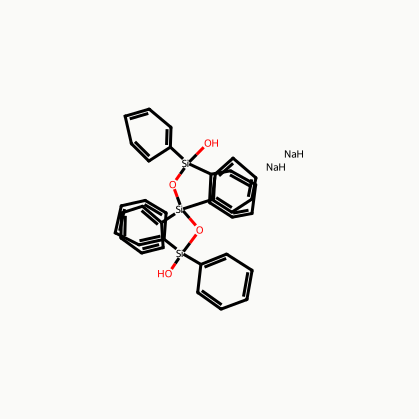 O[Si](O[Si](O[Si](O)(c1ccccc1)c1ccccc1)(c1ccccc1)c1ccccc1)(c1ccccc1)c1ccccc1.[NaH].[NaH]